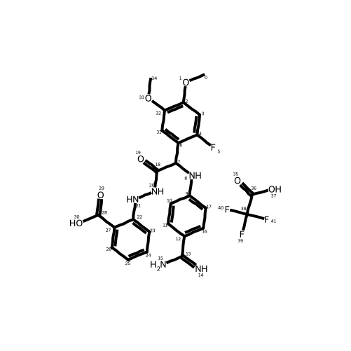 COc1cc(F)c(C(Nc2ccc(C(=N)N)cc2)C(=O)NNc2ccccc2C(=O)O)cc1OC.O=C(O)C(F)(F)F